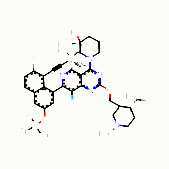 COc1nc(-c2cc(O[Si](C(C)C)(C(C)C)C(C)C)cc3ccc(F)c(C#C[Si](C(C)C)(C(C)C)C(C)C)c23)c(F)c2nc(OC[C@]3(C)CN(C)CC[C@@H]3CF)nc(N3CCC[C@@](C)(O)C3)c12